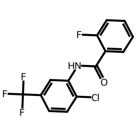 O=C(Nc1cc(C(F)(F)F)ccc1Cl)c1ccccc1F